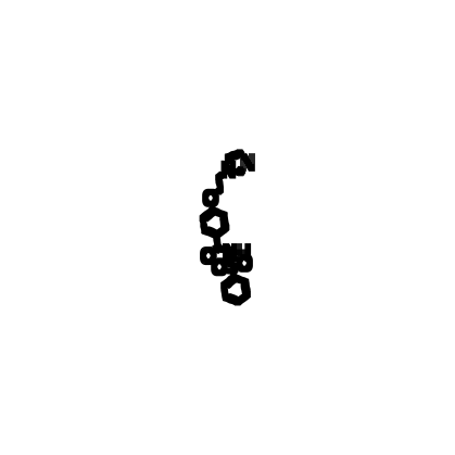 O=C(NS(=O)(=O)c1ccccc1)c1ccc(OCCn2ccnc2)cc1